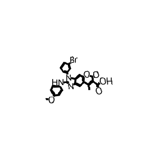 COc1ccc(Nc2nc3cc4c(C)c(C(=O)O)c(=O)oc4cc3n2-c2cccc(Br)c2)cc1